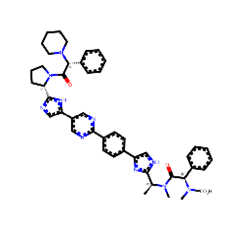 C[C@@H](c1nc(-c2ccc(-c3ncc(-c4cnc([C@@H]5CCCN5C(=O)[C@@H](c5ccccc5)N5CCCCC5)[nH]4)cn3)cc2)c[nH]1)N(C)C(=O)[C@@H](c1ccccc1)N(C)C(=O)O